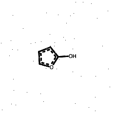 Oc1[c]cco1